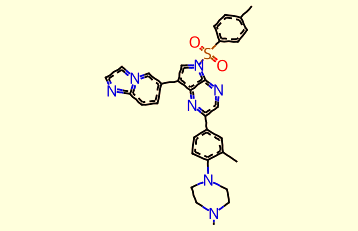 Cc1ccc(S(=O)(=O)n2cc(-c3ccc4nccn4c3)c3nc(-c4ccc(N5CCN(C)CC5)c(C)c4)cnc32)cc1